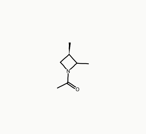 CC(=O)N1C[C@@H](C)C1C